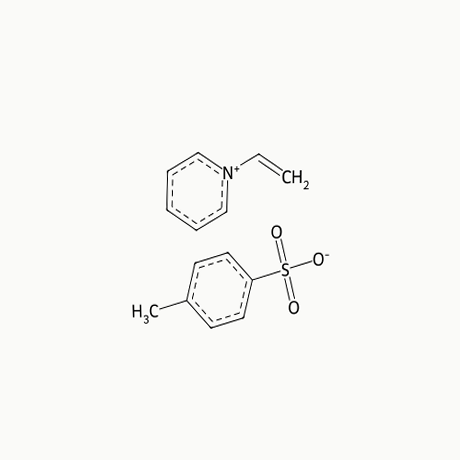 C=C[n+]1ccccc1.Cc1ccc(S(=O)(=O)[O-])cc1